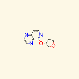 c1cc2nccnc2c(O[C@@H]2CCOC2)n1